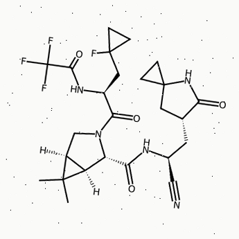 CC1(C)[C@@H]2[C@@H](C(=O)N[C@H](C#N)C[C@@H]3CC4(CC4)NC3=O)N(C(=O)[C@H](CC3(F)CC3)NC(=O)C(F)(F)F)C[C@@H]21